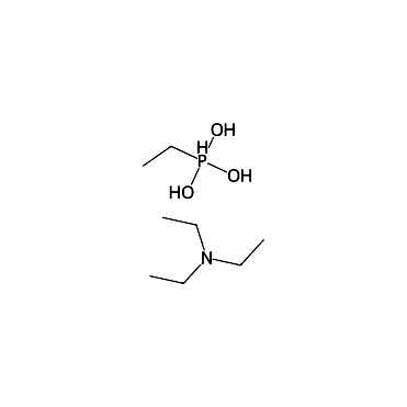 CCN(CC)CC.CC[PH](O)(O)O